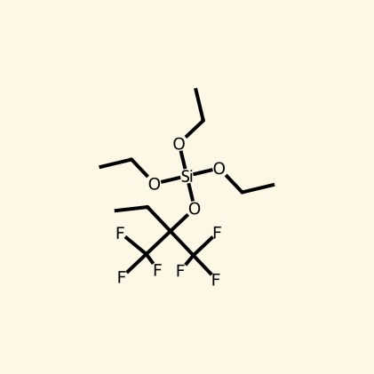 CCO[Si](OCC)(OCC)OC(CC)(C(F)(F)F)C(F)(F)F